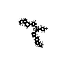 Fc1ccc(-c2nc(-c3cccc(C4=Cc5ccc6cccnc6c5C=C=C4)c3)nc(-c3cccc(-c4ccc5c(ccc6cccnc65)c4)c3)n2)cc1